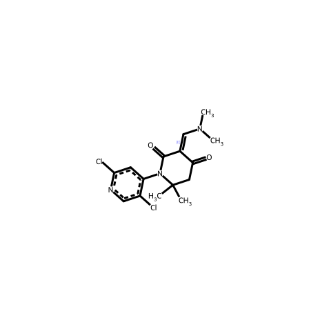 CN(C)/C=C1\C(=O)CC(C)(C)N(c2cc(Cl)ncc2Cl)C1=O